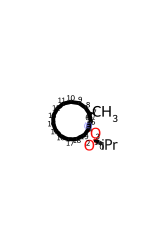 CC(C)C(=O)O/C1=C/[C@H](C)CCCCCCCCCCCC1